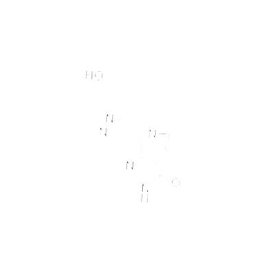 O=c1[nH]cnc2c(-c3cnn(CCO)c3)nccc12